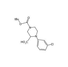 CC(C)(C)OC(=O)N1CCN(c2cccc(Cl)c2)C(C(=O)O)C1